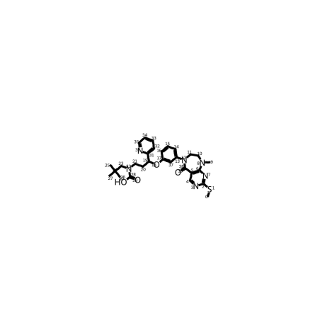 CSc1ncc2c(n1)N(C)CCN(c1cccc(OC(CCN(CC(C)(C)C)C(=O)O)c3ccccn3)c1)C2=O